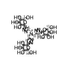 OC[C@H]1O[C@@H](n2cc(CN(Cc3cn([C@@H]4O[C@H](CO)[C@@H](O)[C@H](O)[C@H]4O)nn3)Cc3cn([C@@H]4O[C@H](CO)[C@@H](O)[C@H](O)[C@H]4O)nn3)nn2)[C@H](O)[C@@H](O)[C@@H]1O